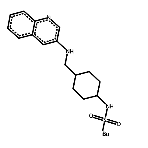 CCC(C)S(=O)(=O)NC1CCC(CNc2cnc3ccccc3c2)CC1